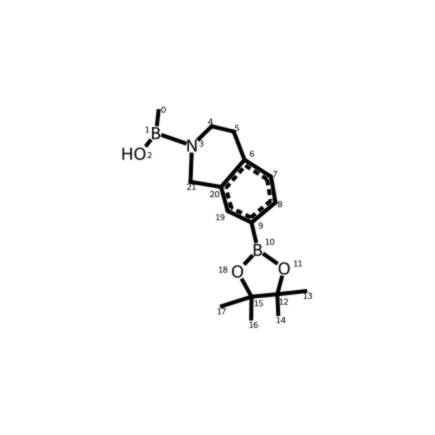 CB(O)N1CCc2ccc(B3OC(C)(C)C(C)(C)O3)cc2C1